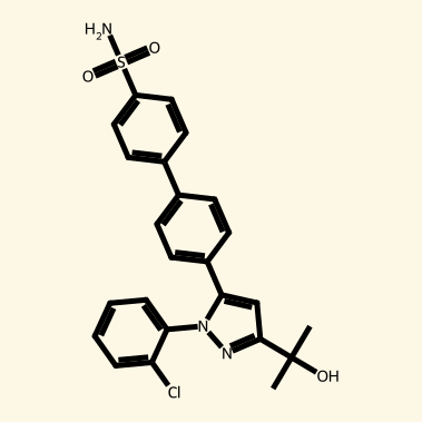 CC(C)(O)c1cc(-c2ccc(-c3ccc(S(N)(=O)=O)cc3)cc2)n(-c2ccccc2Cl)n1